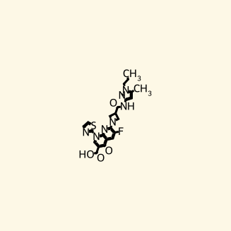 CCCn1nc(NC(=O)C2CN(c3nc4c(cc3F)c(=O)c(C(=O)O)cn4-c3nccs3)C2)cc1C